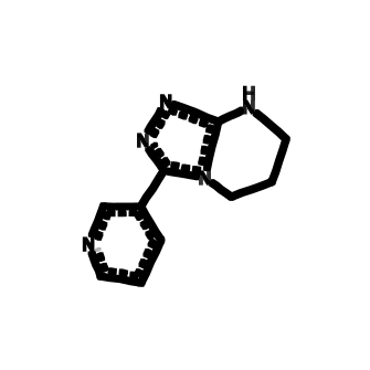 c1cncc(-c2nnc3n2CCCN3)c1